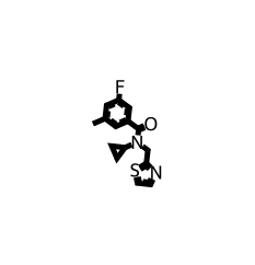 Cc1cc(F)cc(C(=O)N(Cc2nccs2)C2CC2)c1